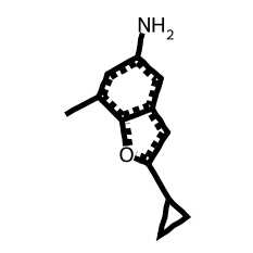 Cc1cc(N)cc2cc(C3CC3)oc12